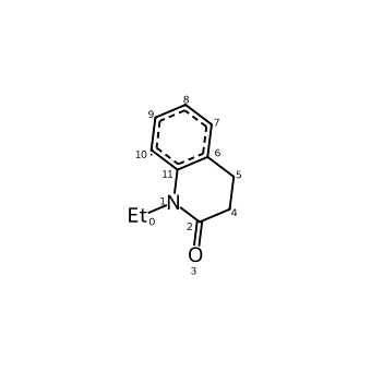 CCN1C(=O)CCc2ccc[c]c21